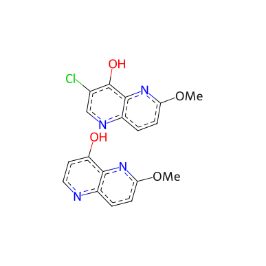 COc1ccc2ncc(Cl)c(O)c2n1.COc1ccc2nccc(O)c2n1